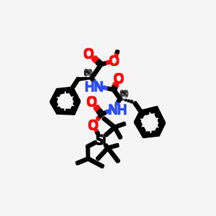 COC(=O)[C@H](Cc1ccccc1)NC(=O)[C@H](Cc1ccccc1)NC(=O)O[Si](CC(C)C)(C(C)(C)C)C(C)(C)C